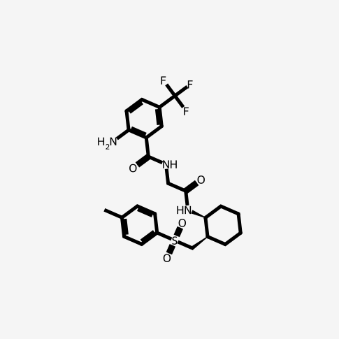 Cc1ccc(S(=O)(=O)C[C@@H]2CCCC[C@@H]2NC(=O)CNC(=O)c2cc(C(F)(F)F)ccc2N)cc1